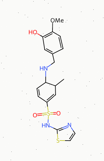 COc1ccc(CNC2C=CC(S(=O)(=O)Nc3nccs3)=CC2C)cc1O